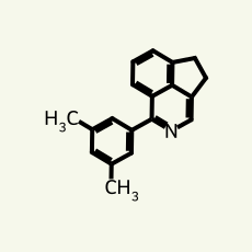 Cc1cc(C)cc(-c2ncc3c4c(cccc24)CC3)c1